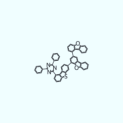 c1ccc(-c2nc(-c3ccccc3)nc(-c3cccc4sc5cc(-c6cc(-c7cccc8oc9ccccc9c78)cc7c6oc6ccccc67)ccc5c34)n2)cc1